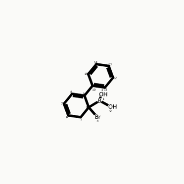 OB(O)C1(Br)CC=CC=C1c1ccccc1